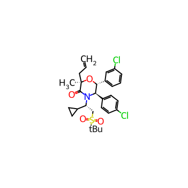 C=CC[C@@]1(C)O[C@H](c2cccc(Cl)c2)[C@@H](c2ccc(Cl)cc2)N([C@H](CS(=O)(=O)C(C)(C)C)C2CC2)C1=O